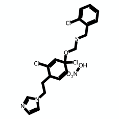 ClC1=CC(Cl)(OCSCc2ccccc2Cl)C=CC1CCn1ccnc1.O=[N+]([O-])O